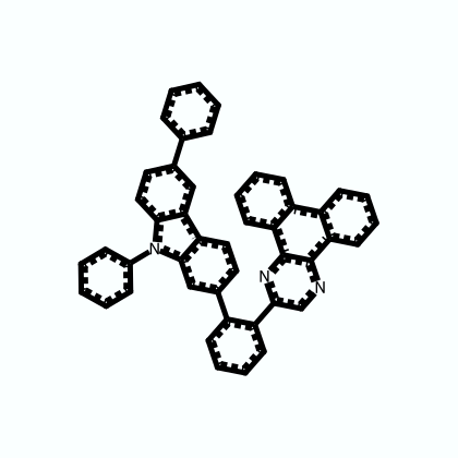 c1ccc(-c2ccc3c(c2)c2ccc(-c4ccccc4-c4cnc5c6ccccc6c6ccccc6c5n4)cc2n3-c2ccccc2)cc1